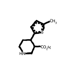 Cc1ccc(C2CCNCC2C(=O)O)s1